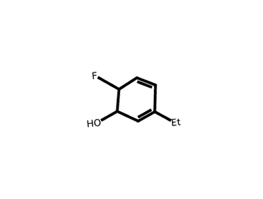 CCC1=CC(O)C(F)C=C1